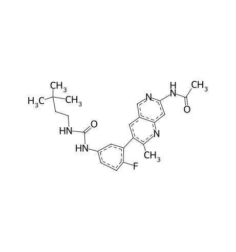 CC(=O)Nc1cc2nc(C)c(-c3cc(NC(=O)NCCC(C)(C)C)ccc3F)cc2cn1